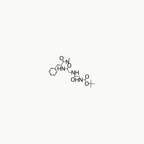 C=NC(=O)[C@H](Cc1ccccc1)NC(=O)CNC(=O)CNC(=O)OC(C)(C)C